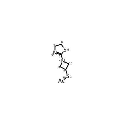 CC(=O)SC1CN(C2=NCCS2)C1